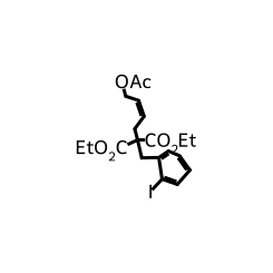 CCOC(=O)C(C/C=C\COC(C)=O)(Cc1ccccc1I)C(=O)OCC